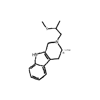 CSC(C)CN1Cc2[nH]c3ccccc3c2C[C@H]1C